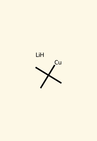 C[C](C)(C)[Cu].[LiH]